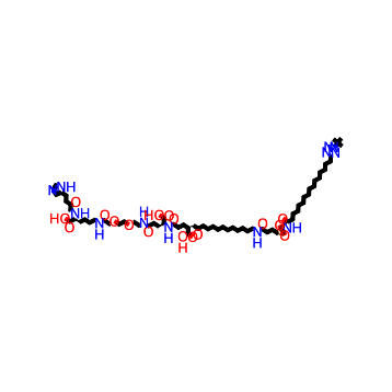 CC(C)(C)n1nnc(CCCCCCCCCCCCCCCC(=O)NS(=O)(=O)CCCC(=O)NCCCCCCCCCCCC(=O)C[C@@H](CCC(=O)N[C@@H](CCC(=O)NCCOCCOCC(=O)NCCCC[C@H](NCC(=O)CCc2cnc[nH]2)C(=O)O)C(=O)O)C(=O)O)n1